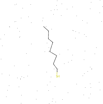 CCCCCCC[CH]S